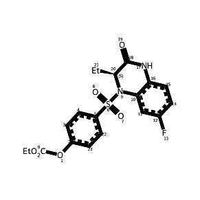 CCOC(=O)Oc1ccc(S(=O)(=O)N2c3cc(F)ccc3NC(=O)[C@@H]2CC)cc1